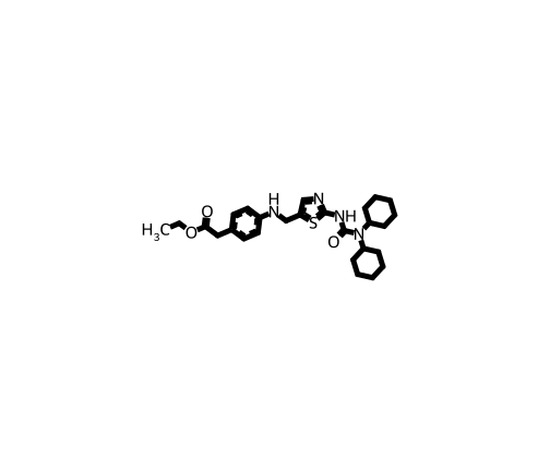 CCOC(=O)Cc1ccc(NCc2cnc(NC(=O)N(C3CCCCC3)C3CCCCC3)s2)cc1